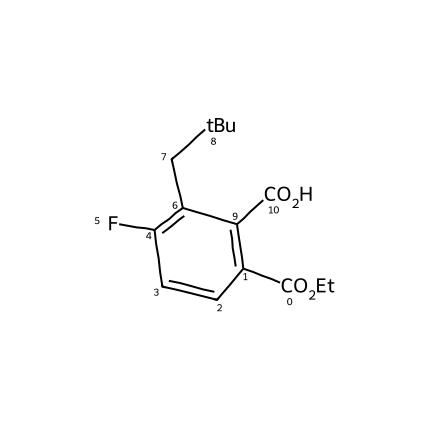 CCOC(=O)c1ccc(F)c(CC(C)(C)C)c1C(=O)O